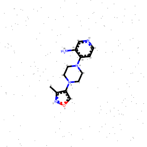 Cc1nocc1N1CCN(c2ccncc2N)CC1